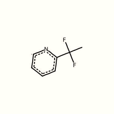 CC(F)(F)c1ccc[c]n1